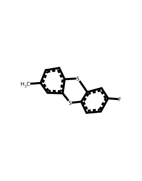 Cc1ccc2c(c1)Sc1ccc(F)cc1S2